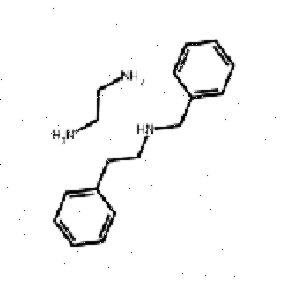 NCCN.c1ccc(CCNCc2ccccc2)cc1